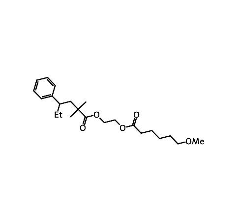 CCC(CC(C)(C)C(=O)OCCOC(=O)CCCCCOC)c1ccccc1